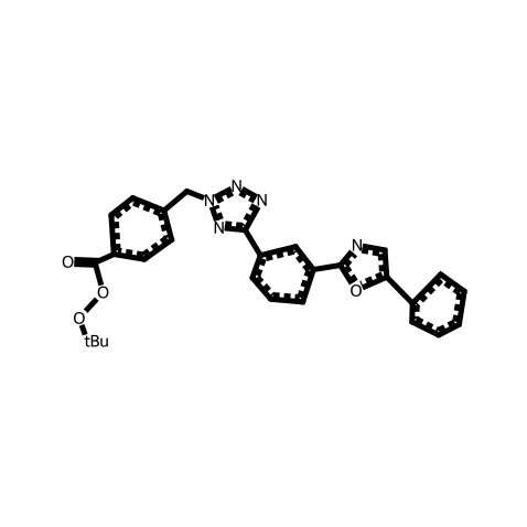 CC(C)(C)OOC(=O)c1ccc(Cn2nnc(-c3cccc(-c4ncc(-c5ccccc5)o4)c3)n2)cc1